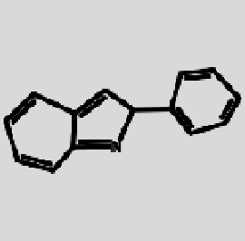 C1=c2ccccc2=NC1c1ccccc1